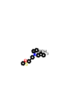 CC1(C)c2ccccc2-c2ccc(N(c3ccc(-c4ccc5c(c4)Oc4ccccc4S5)cc3)c3cccc4ccccc34)cc21